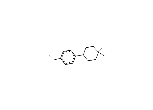 CCCC1(C)CCC(c2ccc(OCC)cc2)CC1